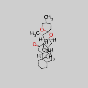 CC1CC[C@@]2(OC1)O[C@H]1C[C@H]3[C@@H]4CCC5CCCC[C@]5(C)[C@H]4CC(=O)[C@]3(C)[C@H]1[C@@H]2C